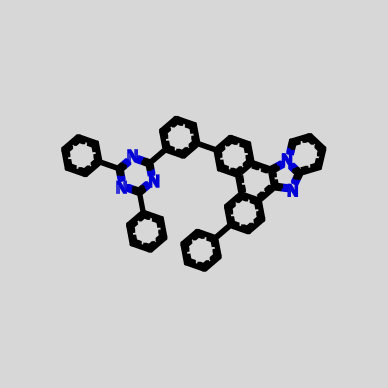 c1ccc(-c2ccc3c(c2)c2cc(-c4cccc(-c5nc(-c6ccccc6)nc(-c6ccccc6)n5)c4)ccc2c2c3nc3ccccn32)cc1